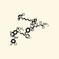 COc1cc2ncnc(Nc3ccc(F)c(Cl)c3)c2cc1OCCC[N+]1(Cc2ccc(NC(=O)[C@H](CCCNC(N)=O)NC(=O)C3(C(=O)NCCCCCN4C(=O)C=CC4=O)CCC3)cc2)CCOCC1